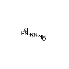 C=COCNCCN1CCN(CCNC(=O)C=C)CC1